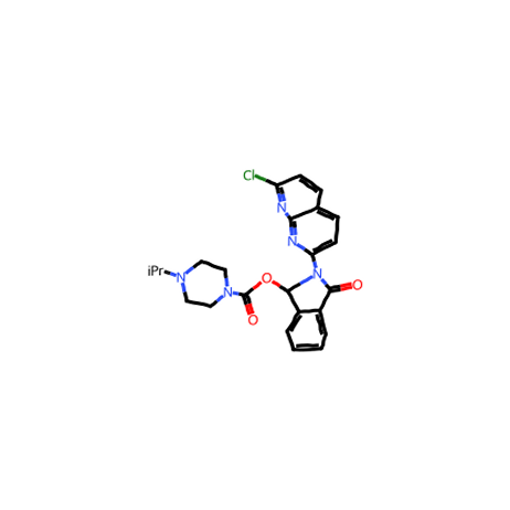 CC(C)N1CCN(C(=O)OC2c3ccccc3C(=O)N2c2ccc3ccc(Cl)nc3n2)CC1